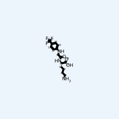 NCCCC[C@H](NC(=O)CNc1ccc(C(F)(F)F)cc1)C(=O)O